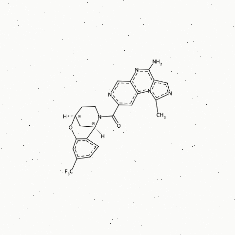 Cc1ncc2c(N)nc3cnc(C(=O)N4CC[C@H]5C[C@@H]4c4ccc(C(F)(F)F)cc4O5)cc3n12